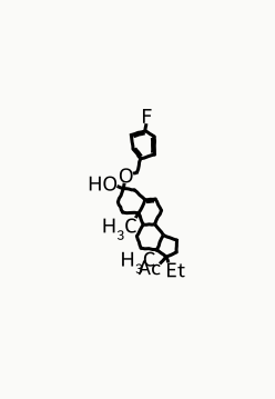 CCC1(C(C)=O)CCC2C3CC=C4CC(O)(OCc5ccc(F)cc5)CCC4(C)C3CCC21C